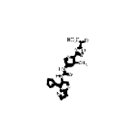 CCC(C(=O)O)c1nc(-c2ncc(NC(=O)Nc3cnc4ccnn4c3C3CCCC3)cc2C)no1